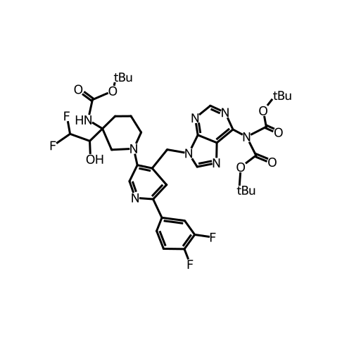 CC(C)(C)OC(=O)NC1(C(O)C(F)F)CCCN(c2cnc(-c3ccc(F)c(F)c3)cc2Cn2cnc3c(N(C(=O)OC(C)(C)C)C(=O)OC(C)(C)C)ncnc32)C1